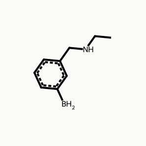 Bc1cccc(CNCC)c1